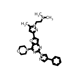 Cc1cc(-c2cc3nc(-n4cc(-c5ccccc5)cn4)nc(N4CCOCC4)c3o2)nn1CCN(C)C